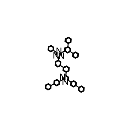 c1ccc(-c2ccc(-c3cc(-c4cccc(-c5cccc(-c6nc(-c7ccccc7)nc(-c7cc(-c8ccccc8)cc(-c8ccccc8)c7)n6)c5)c4)nc(-c4ccc(-c5ccccc5)cc4)n3)cc2)cc1